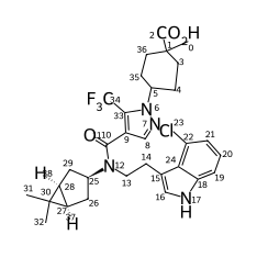 CC1(C(=O)O)CCC(n2ncc(C(=O)N(CCc3c[nH]c4cccc(Cl)c34)[C@H]3C[C@@H]4[C@H](C3)C4(C)C)c2C(F)(F)F)CC1